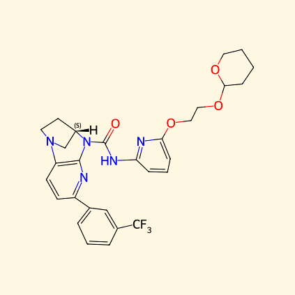 O=C(Nc1cccc(OCCOC2CCCCO2)n1)N1c2nc(-c3cccc(C(F)(F)F)c3)ccc2N2CC[C@H]1C2